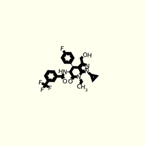 CCN1C(=O)[C@H](NC(=O)c2cccc(C(F)(F)F)c2)[C@H](c2ccc(F)cc2)c2c(CO)nn(C3CC3)c21